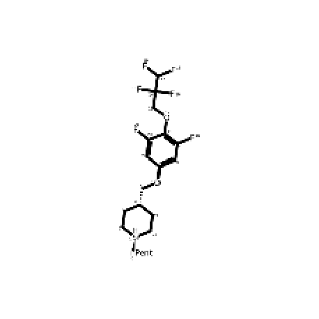 CCCCC[Si@H]1CC[C@H](COc2cc(F)c(OCC(F)(F)C(F)F)c(F)c2)CC1